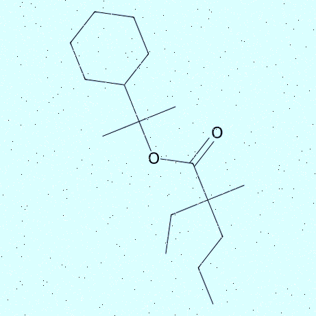 CCCC(C)(CC)C(=O)OC(C)(C)C1CCCCC1